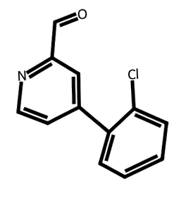 O=Cc1cc(-c2ccccc2Cl)ccn1